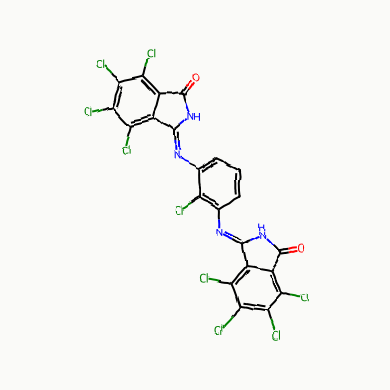 O=C1NC(=Nc2cccc(N=C3NC(=O)c4c(Cl)c(Cl)c(Cl)c(Cl)c43)c2Cl)c2c(Cl)c(Cl)c(Cl)c(Cl)c21